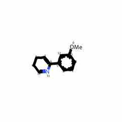 COc1cccc(C2=CCCC=N2)c1